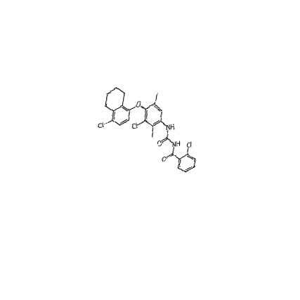 Cc1cc(NC(=O)NC(=O)c2ccccc2Cl)c(C)c(Cl)c1Oc1ccc(Cl)c2c1CCCC2